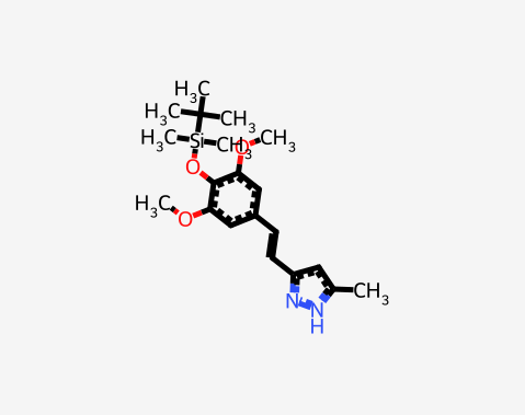 COc1cc(C=Cc2cc(C)[nH]n2)cc(OC)c1O[Si](C)(C)C(C)(C)C